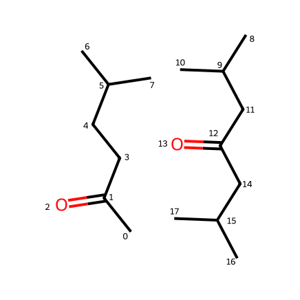 CC(=O)CCC(C)C.CC(C)CC(=O)CC(C)C